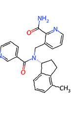 Cc1cccc2c1CC[C@H]2N(Cc1cccnc1C(N)=O)C(=O)c1cccnc1